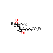 CCCCCC(O)(CC=C1CC[C@@H](O)[C@@H]1CCCCCCC(=O)OCC)C(CC)CC